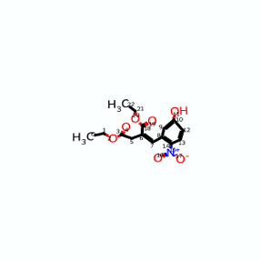 CCOC(=O)CC(=Cc1cc(O)ccc1[N+](=O)[O-])C(=O)OCC